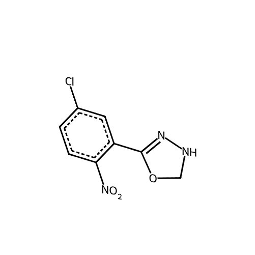 O=[N+]([O-])c1ccc(Cl)cc1C1=NNCO1